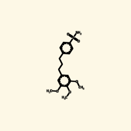 COc1cc(CCCc2ccc(S(N)(=O)=O)cc2)cc(OC)c1OC